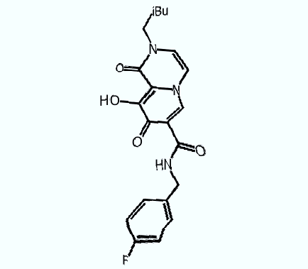 CCC(C)Cn1ccn2cc(C(=O)NCc3ccc(F)cc3)c(=O)c(O)c2c1=O